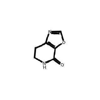 O=C1NCCc2ncoc21